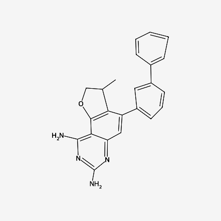 CC1COc2c1c(-c1cccc(-c3ccccc3)c1)cc1nc(N)nc(N)c21